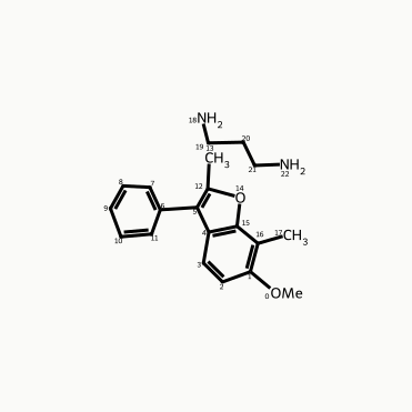 COc1ccc2c(-c3ccccc3)c(C)oc2c1C.NCCCN